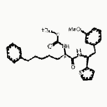 COc1cccc(CC(NC(=O)[C@@H](CCC[CH]Cc2ccccc2)NC(=O)OC(C)(C)C)c2cccs2)c1